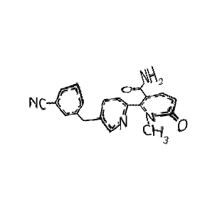 Cn1c(-c2ccc(Cc3cccc(C#N)c3)cn2)c(C(N)=O)ccc1=O